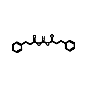 O=C(CCc1ccccc1)OBOC(=O)CCc1ccccc1